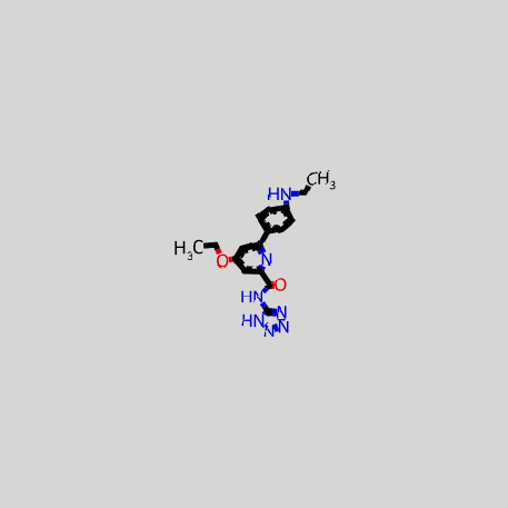 CCNc1ccc(-c2cc(OCC)cc(C(=O)Nc3nnn[nH]3)n2)cc1